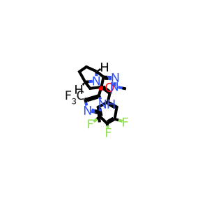 Cc1nc(C(F)(F)F)c(C(=O)N2[C@H]3CC[C@@H]2c2nn(C)c(-c4cc(F)c(F)c(F)c4)c2C3)[nH]1